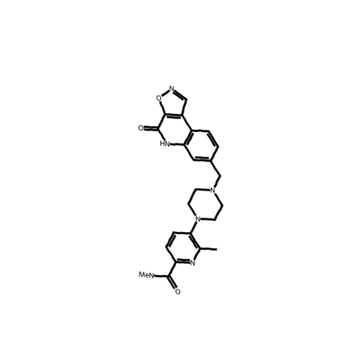 CNC(=O)c1ccc(N2CCN(Cc3ccc4c(c3)[nH]c(=O)c3oncc34)CC2)c(C)n1